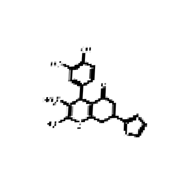 CC1=C(C(=O)O)C(c2ccc(O)c([N+](=O)[O-])c2)C2=C(CC(c3cccs3)CC2=O)N1